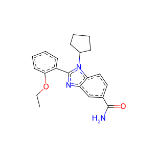 CCOc1ccccc1-c1nc2cc(C(N)=O)ccc2n1C1CCCC1